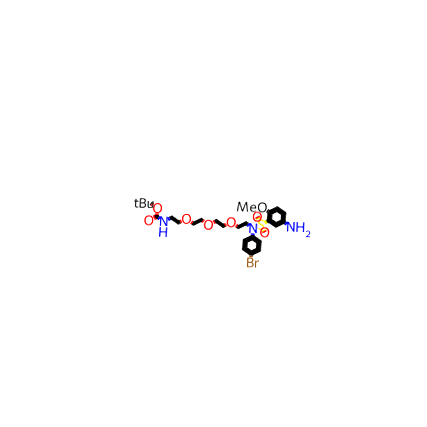 COc1ccc(N)cc1S(=O)(=O)N(CCOCCOCCOCCNC(=O)OC(C)(C)C)c1ccc(Br)cc1